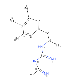 [2H]c1cc(CC([2H])NC(=N)NC(C)=N)cc([2H])c1[2H]